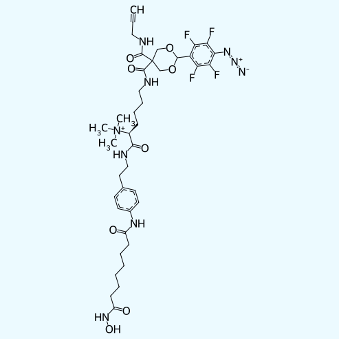 C#CCNC(=O)C1(C(=O)NCCCC[C@@H](C(=O)NCCc2ccc(NC(=O)CCCCCCC(=O)NO)cc2)[N+](C)(C)C)COC(c2c(F)c(F)c(N=[N+]=[N-])c(F)c2F)OC1